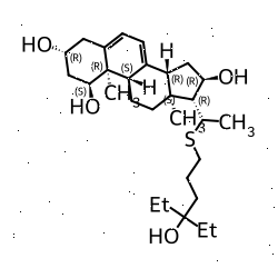 CCC(O)(CC)CCCSC(C)[C@H]1[C@H](O)C[C@H]2C3=CC=C4C[C@@H](O)C[C@H](O)[C@]4(C)[C@H]3CC[C@@]21C